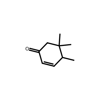 CC1C=CC(=O)CC1(C)C